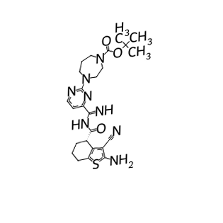 CC(C)(C)OC(=O)N1CCCN(c2nccc(C(=N)NC(=O)[C@H]3CCCc4sc(N)c(C#N)c43)n2)CC1